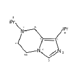 CC(C)c1ncn2c1CN(C(C)C)CC2